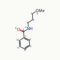 COCCCNC(=O)c1cc[c]cc1